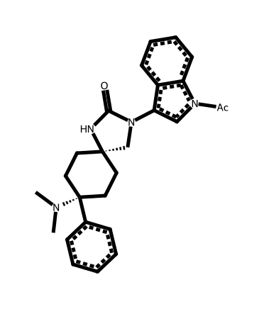 CC(=O)n1cc(N2C[C@]3(CC[C@@](c4ccccc4)(N(C)C)CC3)NC2=O)c2ccccc21